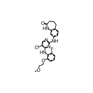 COCCOc1cccc(F)c1Nc1nc(Nc2ccc3c(c2)NC(=O)CCC3)ncc1Cl